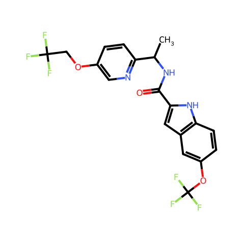 CC(NC(=O)c1cc2cc(OC(F)(F)F)ccc2[nH]1)c1ccc(OCC(F)(F)F)cn1